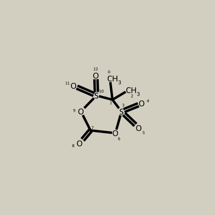 CC1(C)S(=O)(=O)OC(=O)OS1(=O)=O